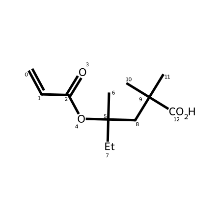 C=CC(=O)OC(C)(CC)CC(C)(C)C(=O)O